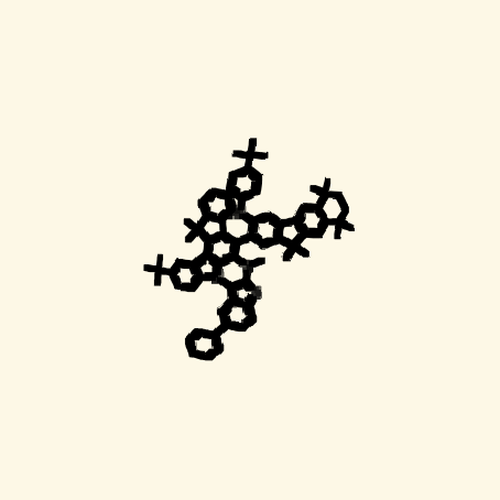 CB1c2sc3ccc(-c4ccccc4)cc3c2-n2c3ccc(C(C)(C)C)cc3c3c4c(c(-c5cc6c(cc5Nc5ccc(C(C)(C)C)cc5)-c5cc7c(cc5C6(C)C)C(C)(C)CCC7(C)C)c1c32)-c1ccccc1C4(C)C